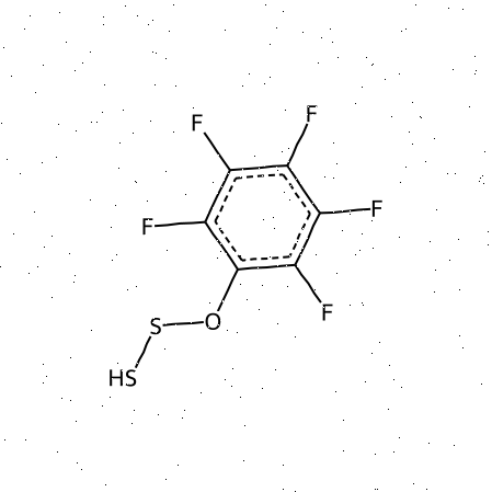 Fc1c(F)c(F)c(OSS)c(F)c1F